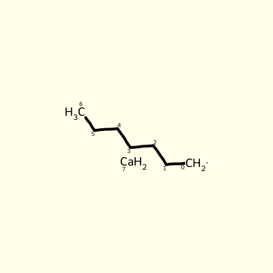 [CH2]CCCCCC.[CaH2]